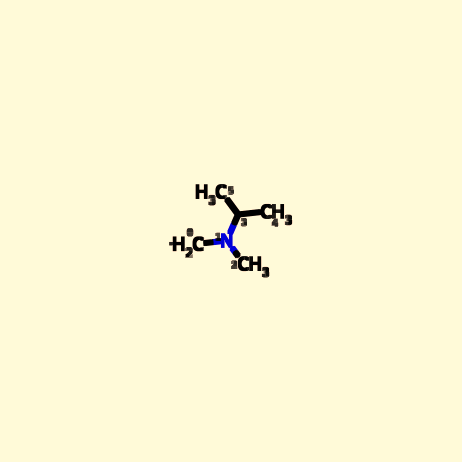 [CH2]N(C)C(C)C